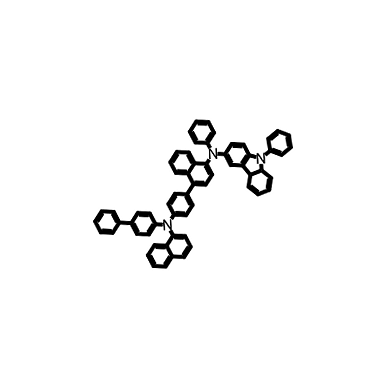 C1=CC2c3cc(N(c4ccccc4)c4ccc(-c5ccc(N(c6ccc(-c7ccccc7)cc6)c6cccc7ccccc67)cc5)c5ccccc45)ccc3N(c3ccccc3)C2C=C1